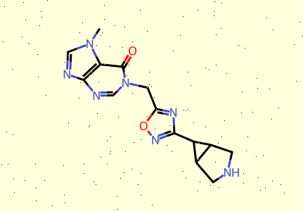 Cn1cnc2ncn(Cc3nc(C4C5CNCC54)no3)c(=O)c21